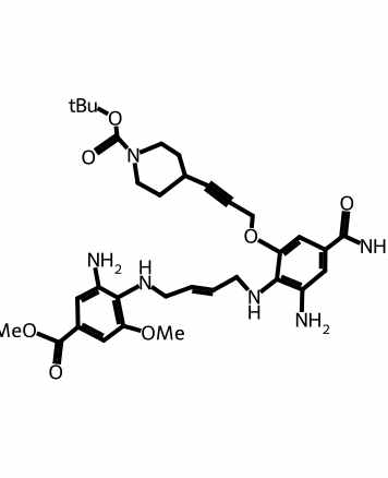 COC(=O)c1cc(N)c(NC/C=C/CNc2c(N)cc(C(N)=O)cc2OCC#CC2CCN(C(=O)OC(C)(C)C)CC2)c(OC)c1